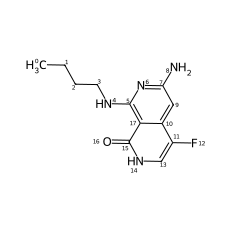 CCCCNc1nc(N)cc2c(F)c[nH]c(=O)c12